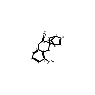 CCCc1cccc2c1CC1(CC3C=CC1C3)C(=O)C2